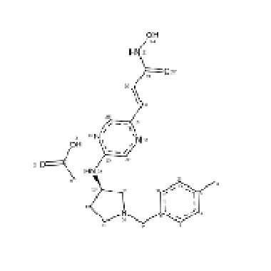 CC(=O)O.Cc1ccc(CN2CC[C@@H](Nc3cnc(/C=C/C(=O)NO)cn3)C2)cc1